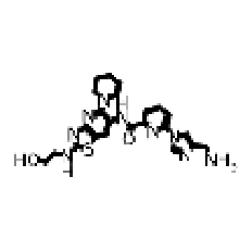 NCc1cn(-c2cccc(C(=O)Nc3cc4sc(NCCO)nc4nc3N3CCCCC3)n2)cn1